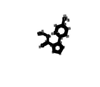 CC(C)(C)OC(=O)n1cccc1-c1ccc(C(F)(F)F)cn1